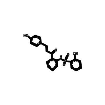 O=C(C=Cc1ccc(O)cc1)c1ccccc1NS(=O)(=O)c1ccccc1O